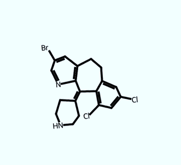 Clc1cc(Cl)c2c(c1)CCc1cc(Br)cnc1C2=C1CCNCC1